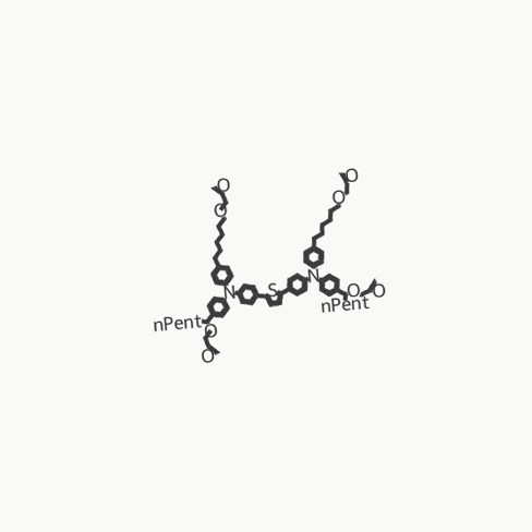 CCCCCC(OCC1CO1)c1ccc(N(c2ccc(CCCCCCOCC3CO3)cc2)c2ccc(-c3ccc(-c4ccc(N(c5ccc(CCCCCCOCC6CO6)cc5)c5ccc(C(CCCCC)OCC6CO6)cc5)cc4)s3)cc2)cc1